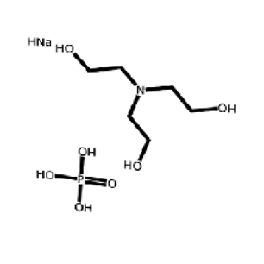 O=P(O)(O)O.OCCN(CCO)CCO.[NaH]